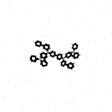 C1=CCCC(n2c3ccccc3c3cc(N(c4ccc(-c5ccc(N(c6cccc(-c7ccccc7)c6)c6ccc7c(c6)c6ccccc6n7C6=CC=CCC6)cc5)cc4)c4cccc(-c5ccccc5)c4)ccc32)=C1